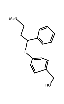 CNCCC(Oc1ccc(CO)cc1)c1ccccc1